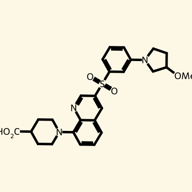 COC1CCN(c2cccc(S(=O)(=O)c3cnc4c(N5CCC(C(=O)O)CC5)cccc4c3)c2)C1